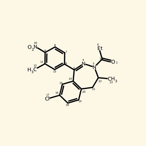 CCC(=O)N1N=C(c2ccc([N+](=O)[O-])c(C)c2)c2cc(Cl)ccc2CC1C